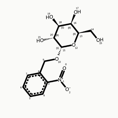 O=[N+]([O-])c1ccccc1CO[C@H]1O[C@H](CO)[C@H](O)[C@H](O)[C@H]1O